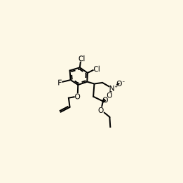 C=CCOc1c(F)cc(Cl)c(Cl)c1C(CC(=O)OCC)C[N+](=O)[O-]